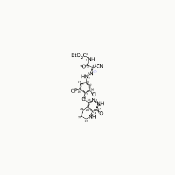 CCOC(=O)NC(=O)/C(C#N)=N\Nc1cc(Cl)c(Oc2n[nH]c(=O)c3c2CCCN3)c(Cl)c1